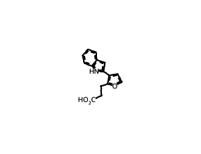 O=C(O)CCc1occc1-c1cc2ccccc2[nH]1